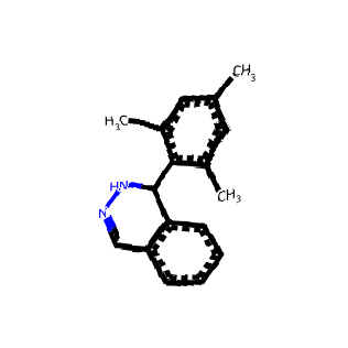 Cc1cc(C)c(C2NN=Cc3ccccc32)c(C)c1